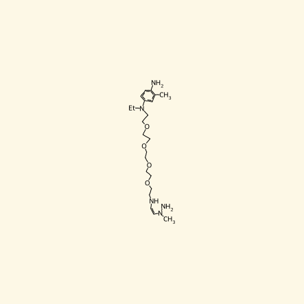 CCN(CCOCCOCCOCCOCCN/C=C\N(C)N)c1ccc(N)c(C)c1